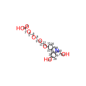 O=C(O)COCCOCCOCCOc1ccc(CN(CCO)c2ccc(O)cc2)cc1